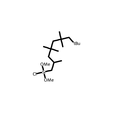 CO[Si](Cl)(CC(C)CC(C)(C)CC(C)(C)CC(C)(C)C)OC